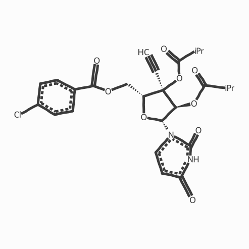 C#C[C@@]1(OC(=O)C(C)C)[C@@H](COC(=O)c2ccc(Cl)cc2)O[C@@H](n2ccc(=O)[nH]c2=O)[C@@H]1OC(=O)C(C)C